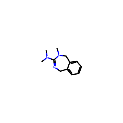 CN(C)C1=NCc2ccccc2CN1C